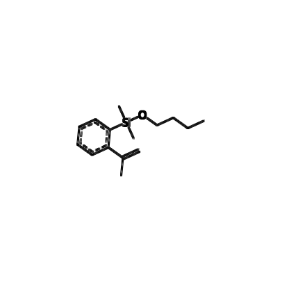 C=C(C)c1ccccc1[Si](C)(C)OCCCC